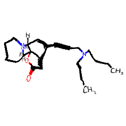 CCCCN(CC#CC1=C[C@H]2N3CCCC[C@@H]3C23OC(=O)C=C13)CCCC